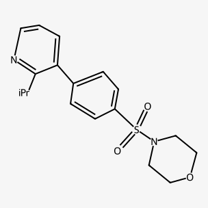 CC(C)c1ncccc1-c1ccc(S(=O)(=O)N2CCOCC2)cc1